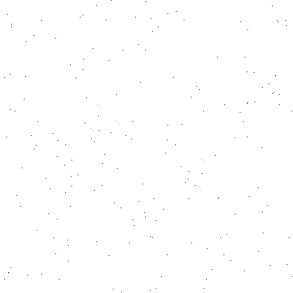 Fc1ccc(-c2nc(-c3ccccc3)nc(-c3cccc(-c4ccc(-c5nc(-c6ccccc6)cc(-c6ccccc6)n5)cc4)c3)n2)cc1